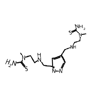 CN(CCNCc1cnnc(CNCCN(C)C(N)=S)c1)C(N)=S